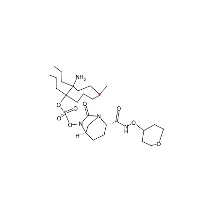 CCCCC(N)(CCC)C(CCC)(CCCC)OS(=O)(=O)ON1C(=O)N2C[C@H]1CC[C@H]2C(=O)NOC1CCOCC1